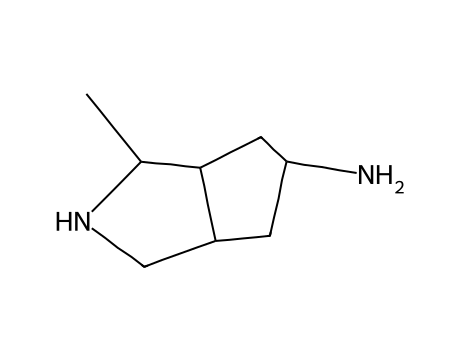 CC1NCC2CC(N)CC21